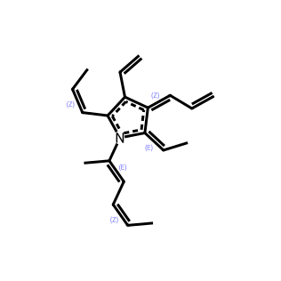 C=C/C=c1/c(C=C)c(/C=C\C)n(/C(C)=C/C=C\C)/c1=C/C